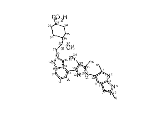 Cc1nc2nn(C)cc2cc1-n1nc(-c2cccc3nn(C[C@@H](O)C4CCC(C(=O)O)CC4)cc23)c(C(C)C)c1C